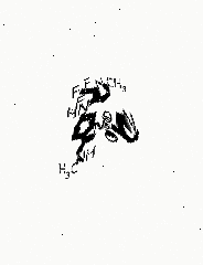 CNCc1cn(S(=O)(=O)c2cccnc2)c2cc(Nc3ccc(C)nc3C(F)(F)F)ccc12